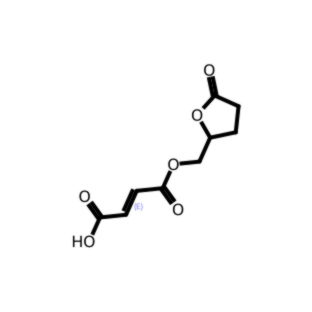 O=C(O)/C=C/C(=O)OCC1CCC(=O)O1